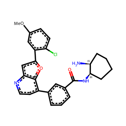 COc1ccc(Cl)c(-c2cc3nccc(-c4cccc(C(=O)N[C@@H]5CCCC[C@@H]5N)c4)c3o2)c1